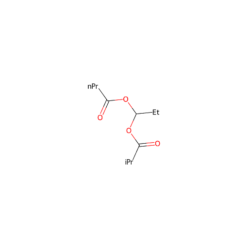 CCCC(=O)OC(CC)OC(=O)C(C)C